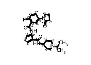 CC(C)N1CCC(NC(=O)c2cscc2NC(=O)c2cc(N3CCCC3=O)ccc2F)CC1